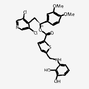 COc1ccc([C@H](Cc2c(Cl)cncc2Cl)OC(=O)c2ccc(CNc3cccc(O)c3O)s2)cc1OC